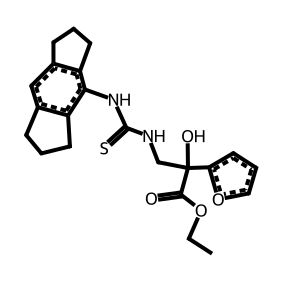 CCOC(=O)C(O)(CNC(=S)Nc1c2c(cc3c1CCC3)CCC2)c1ccco1